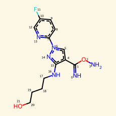 N=C(ON)c1cn(-c2ccc(F)cn2)nc1NCCCCO